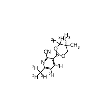 [2H]c1c(C([2H])([2H])[2H])nc(C#N)c(B2OCC(C)(C)C([2H])([2H])O2)c1[2H]